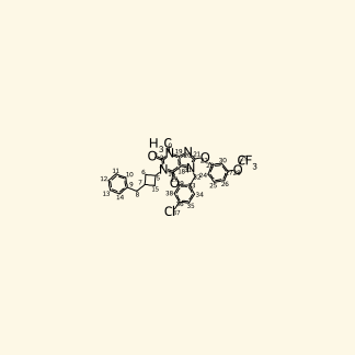 Cn1c(=O)n(C2CC(Cc3ccccc3)C2)c(=O)c2c1nc(Oc1cccc(OC(F)(F)F)c1)n2Cc1ccc(Cl)cc1